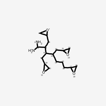 NC(N)C(CC1CO1)C(CC1CO1)C(CCCC1CO1)CC1CO1